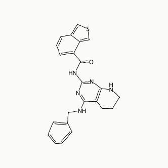 O=C(Nc1nc2c(c(NCc3ccccc3)n1)CCCN2)c1cccc2cscc12